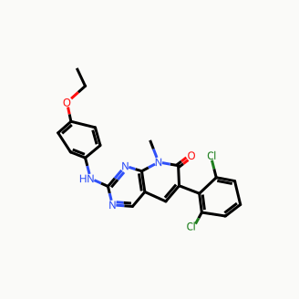 CCOc1ccc(Nc2ncc3cc(-c4c(Cl)cccc4Cl)c(=O)n(C)c3n2)cc1